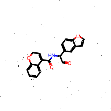 O=CC(NC(=O)C1=CCOc2ccccc21)c1ccc2occc2c1